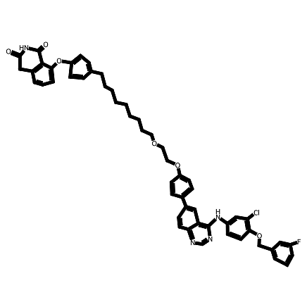 O=C1Cc2cccc(Oc3ccc(CCCCCCCCCOCCOc4ccc(-c5ccc6ncnc(Nc7ccc(OCc8cccc(F)c8)c(Cl)c7)c6c5)cc4)cc3)c2C(=O)N1